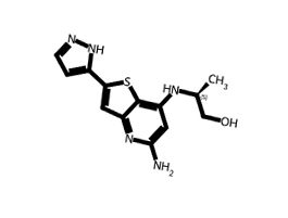 C[C@@H](CO)Nc1cc(N)nc2cc(-c3ccn[nH]3)sc12